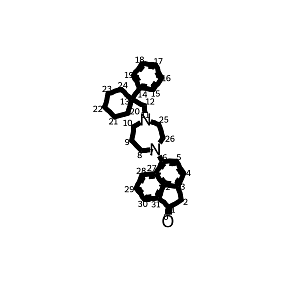 O=C1Cc2ccc(N3CCCN(CC4(c5ccccc5)CCCCC4)CC3)c3cccc1c23